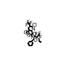 C=CC[C@@](OCc1ccccc1)(c1nnc(-c2nc(Cl)c(C(F)(F)F)cc2[N+](=O)[O-])o1)C(F)(F)F